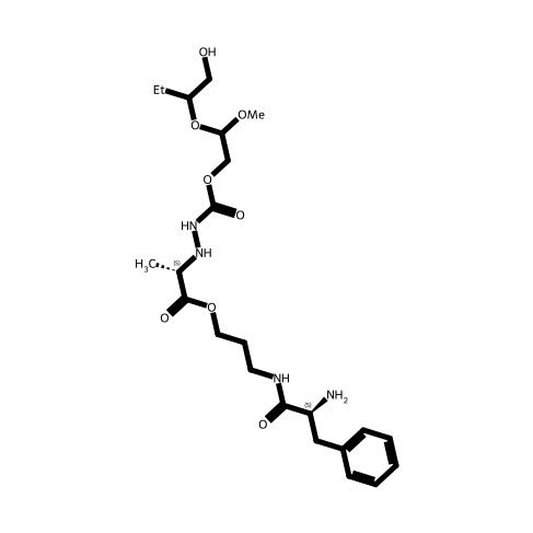 CCC(CO)OC(COC(=O)NN[C@@H](C)C(=O)OCCCNC(=O)[C@@H](N)Cc1ccccc1)OC